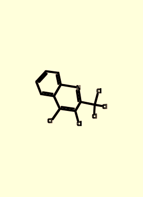 Clc1c(C(Cl)(Cl)Cl)nc2ccccc2c1Cl